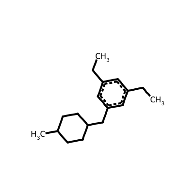 CCc1cc(CC)cc(CC2CCC(C)CC2)c1